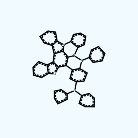 c1ccc(N2B3c4ccccc4-n4c5ccccc5c5c6c(oc7ccccc76)c(c3c54)-c3cc(N(c4ccccc4)c4ccccc4)ccc32)cc1